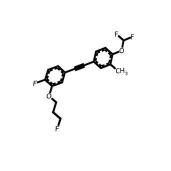 Cc1cc(C#Cc2ccc(F)c(OCCCF)c2)ccc1OC(F)F